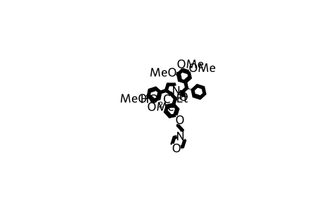 CCC(c1cccc(OCCN2CCOCC2)c1)C1(C(=O)O)C(c2ccc(OC)c(OC)c2)CCN1C(=O)C(c1cc(OC)c(OC)c(OC)c1)[C@H]1C=CCCC1